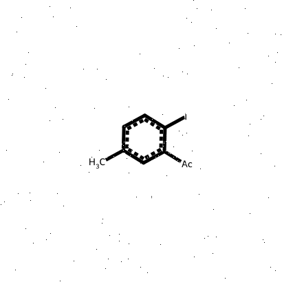 CC(=O)c1cc(C)ccc1I